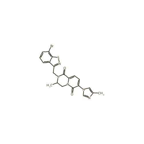 Cc1cn(-c2ccc3n(c2=O)CC(C)N(Cc2nsc4c(Br)cccc24)C3=O)cn1